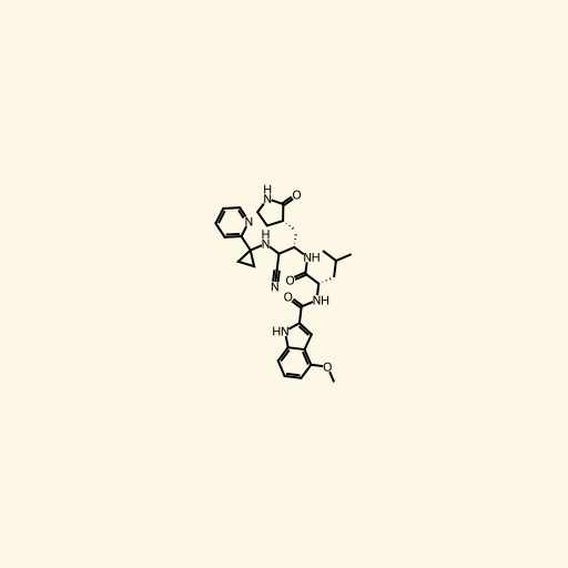 COc1cccc2[nH]c(C(=O)N[C@@H](CC(C)C)C(=O)N[C@@H](C[C@@H]3CCNC3=O)C(C#N)NC3(c4ccccn4)CC3)cc12